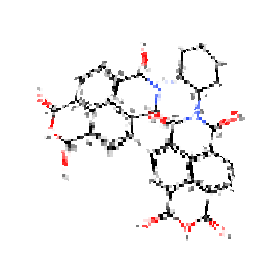 O=C1OC(=O)c2ccc3c4c(ccc1c24)C(=O)N([C@@H]1CCCC[C@H]1N1C(=O)c2ccc4c5c(ccc(c25)C1=O)C(=O)OC4=O)C3=O